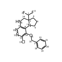 FC(F)C12CCCN1c1c(nnc(Cl)c1OCc1ccccc1)NC2